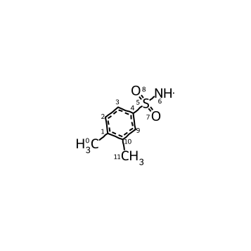 Cc1ccc(S([NH])(=O)=O)cc1C